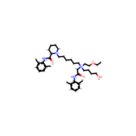 CCOCC[N+](CCCCO)(CCCCCCN1CCCCC1C(=O)Nc1c(C)cccc1C)CC(=O)Nc1c(C)cccc1C